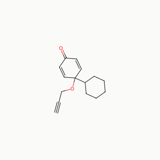 C#CCOC1(C2CCCCC2)C=CC(=O)C=C1